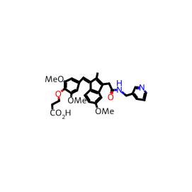 COc1ccc2c(c1)C(CC(=O)NCc1cccnc1)=C(C)/C2=C/c1cc(OC)c(OCCC(=O)O)c(OC)c1